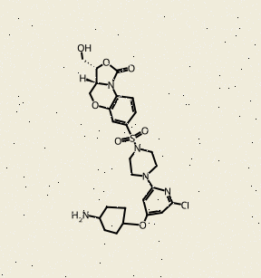 NC1CCC(Oc2cc(Cl)nc(N3CCN(S(=O)(=O)c4ccc5c(c4)OC[C@@H]4[C@H](CO)OC(=O)N54)CC3)c2)CC1